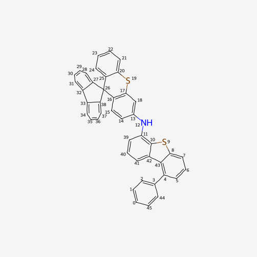 c1ccc(-c2cccc3sc4c(Nc5ccc6c(c5)Sc5ccccc5C65c6ccccc6-c6ccccc65)cccc4c23)cc1